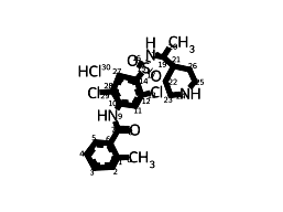 Cc1ccccc1C(=O)Nc1cc(Cl)c(S(=O)(=O)NC(C)C2CCNCC2)cc1Cl.Cl